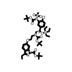 CCc1nn(C(=O)OC(C)(C)C)c2cc(OCCN(C[C@H](O[Si](CC)(CC)CC)c3ccc(Cl)c(N(C(=O)OC(C)(C)C)S(C)(=O)=O)c3)C(=O)OC(C)(C)C)ccc12